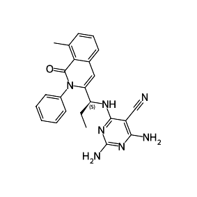 CC[C@H](Nc1nc(N)nc(N)c1C#N)c1cc2cccc(C)c2c(=O)n1-c1ccccc1